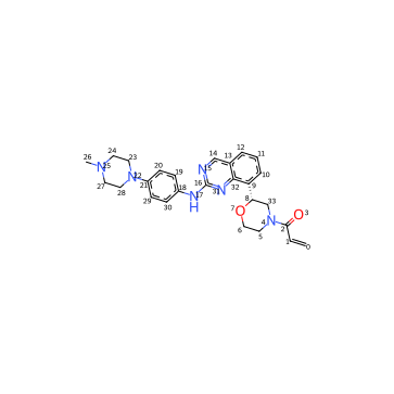 C=CC(=O)N1CCO[C@H](c2cccc3cnc(Nc4ccc(N5CCN(C)CC5)cc4)nc23)C1